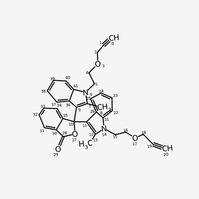 C#CCOCCn1c(C)c(C2(c3c(C)n(CCOCC#C)c4ccccc34)OC(=O)c3ccccc32)c2ccccc21